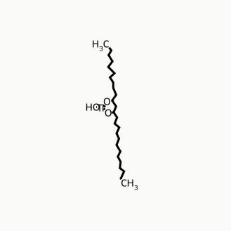 CCCCCCCCCCCCCC(CCCCCCCCCCCC)[O][Ti](=[O])[OH]